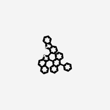 c1ccc(-c2c3ccccc3c(-c3c(-c4cccc5c4sc4ccccc45)oc4ccc5ccccc5c34)c3ccccc23)cc1